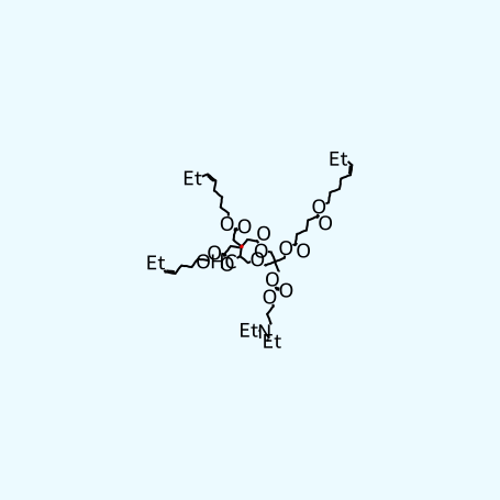 CC/C=C\CCCCOC(=O)CCCC(=O)OCC(COCC(C=O)CCC(=O)OCCCC/C=C\CC)(COC(=O)CCCC(=O)OCCCC/C=C\CC)COC(=O)OCCCN(CC)CC